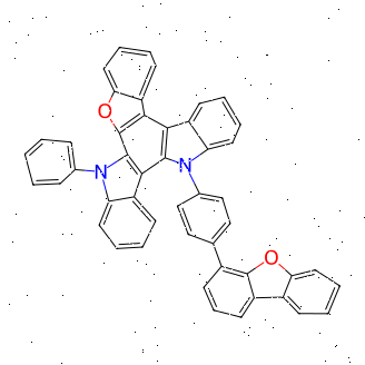 c1ccc(-n2c3ccccc3c3c2c2oc4ccccc4c2c2c4ccccc4n(-c4ccc(-c5cccc6c5oc5ccccc56)cc4)c23)cc1